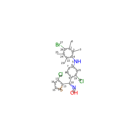 Cc1c(C)c(Nc2ccc(C(=NO)c3sccc3Cl)c(Cl)c2)c(C)c(C)c1Br